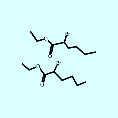 CCCCC(Br)C(=O)OCC.CCCCC(Br)C(=O)OCC